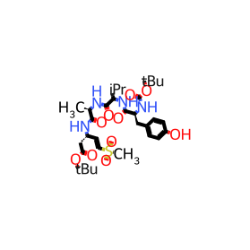 CC(C)C(NC(=O)[C@H](Cc1ccc(O)cc1)NC(=O)OC(C)(C)C)C(=O)N[C@@H](C)C(=O)N[C@H](/C=C/S(C)(=O)=O)CC(=O)OC(C)(C)C